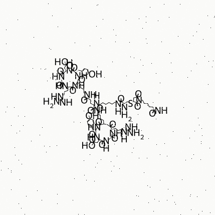 CNC(=O)CCCCCN1C(=O)CC(SCC(N)C(=O)NCCCCCC(=O)NC(CCC(=O)NCCCCC2NC(=O)[C@@H](CCCNC(=N)N)NC(=O)CNC(=O)[C@@H](CC(=O)O)NC(=O)[C@H](Cc3ccc(O)cc3)NC2=O)C(=O)NCCCCC2CC(=O)[C@@H](CCCNC(=N)N)NC(=O)CNC(=O)[C@@H](CC(=O)O)NC(=O)[C@H](Cc3ccc(O)cc3)NC2=O)C1=O